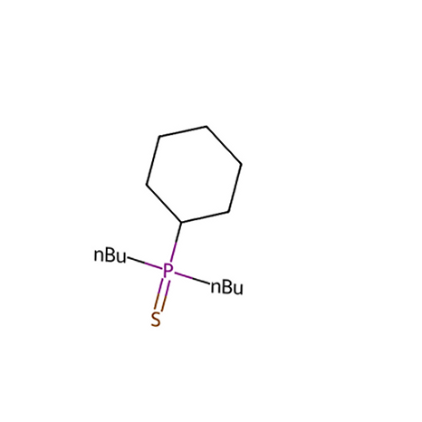 CCCCP(=S)(CCCC)C1CCCCC1